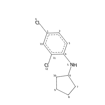 Clc1ccc(NC2CCCC2)c(Cl)c1